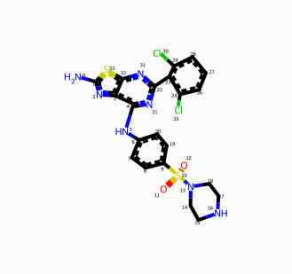 Nc1nc2c(Nc3ccc(S(=O)(=O)N4CCNCC4)cc3)nc(-c3c(Cl)cccc3Cl)nc2s1